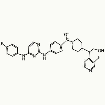 [O-][S+](c1ccc(Nc2nccc(Nc3ccc(F)cc3)n2)cc1)N1CCC(C(CO)c2ccncc2F)CC1